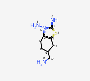 N=c1sc2c(n1N)CCC(CN)C2